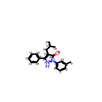 Cc1cccc(-n2[nH]c(-c3ccccc3)c(CC(C)C)c2=O)c1